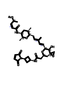 CC(=O)O[C@@H](C)/C=C\C(=O)N[C@@H]1C[C@H](C)[C@H](C/C=C(C)/C=C/[C@H]2O[C@H](CC(=O)N[C@H]3C[C@H](N4C(=O)C=CC4=O)C3)C[C@@]3(CO3)[C@@H]2O)O[C@@H]1C